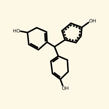 OC1=CC=C(C(C2=CCC(O)C=C2)c2ccc(O)cc2)CC1